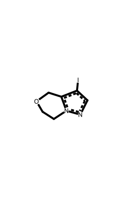 Ic1cnn2c1COCC2